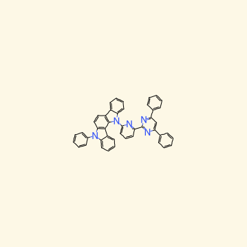 c1ccc(-c2cc(-c3ccccc3)nc(-c3cccc(-n4c5ccccc5c5ccc6c(c7ccccc7n6-c6ccccc6)c54)n3)n2)cc1